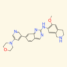 COc1cc2c(cc1Nc1ncc3ccc(-c4cncc(N5CCOCC5)c4)cc3n1)CNCC2